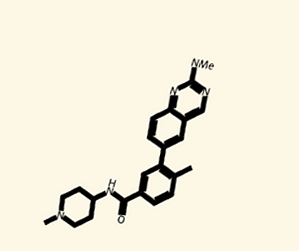 CNc1ncc2cc(-c3cc(C(=O)NC4CCN(C)CC4)ccc3C)ccc2n1